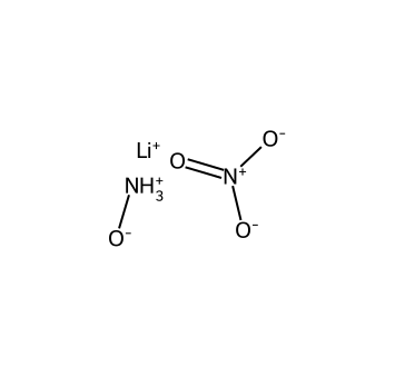 O=[N+]([O-])[O-].[Li+].[NH3+][O-]